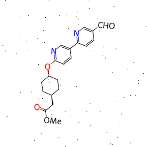 COC(=O)C[C@H]1CC[C@@H](Oc2ccc(-c3ccc(C=O)cn3)cn2)CC1